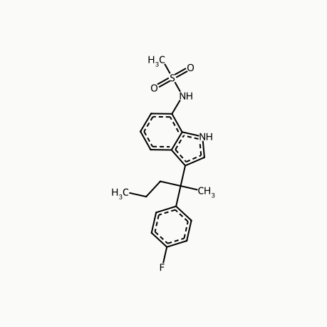 CCCC(C)(c1ccc(F)cc1)c1c[nH]c2c(NS(C)(=O)=O)cccc12